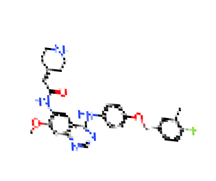 COc1cc2ncnc(Nc3ccc(OCc4ccc(F)c(C)c4)cc3)c2cc1NC(=O)C=C1CCNCC1